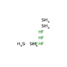 F.F.F.F.[SiH4].[SiH4].[SiH4].[SiH4]